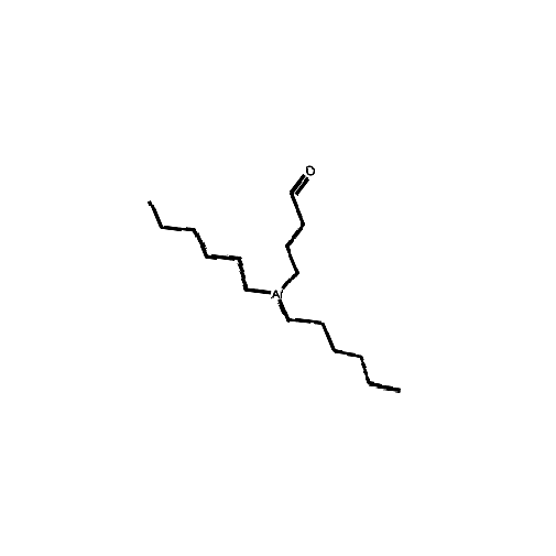 CCCCC[CH2][Al]([CH2]CCC=O)[CH2]CCCCC